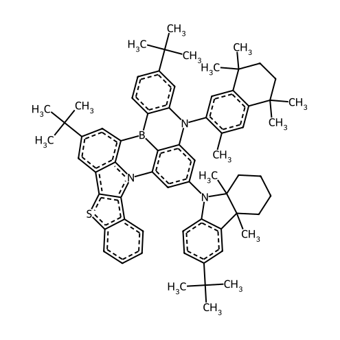 Cc1cc2c(cc1N1c3cc(C(C)(C)C)ccc3B3c4c1cc(N1c5ccc(C(C)(C)C)cc5C5(C)CCCCC15C)cc4-n1c4c3cc(C(C)(C)C)cc4c3sc4ccccc4c31)C(C)(C)CCC2(C)C